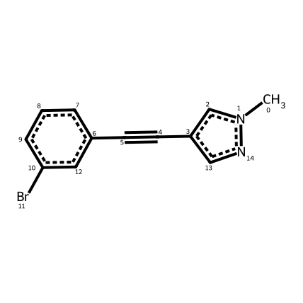 Cn1cc(C#Cc2cccc(Br)c2)cn1